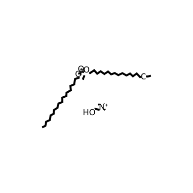 CCCCCCCCCCCCCCCCCCOP(=O)(CC)OCCCCCCCCCCCCCCCCCC.C[N+](C)(C)CCO